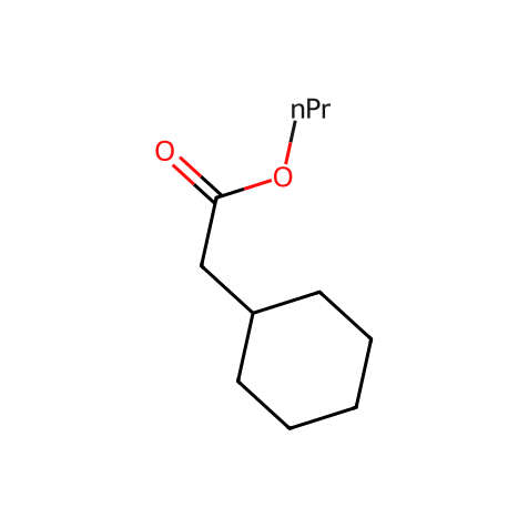 CCCOC(=O)CC1CCCCC1